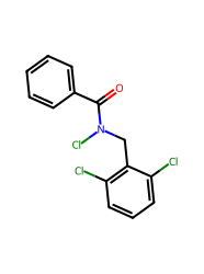 O=C(c1ccccc1)N(Cl)Cc1c(Cl)cccc1Cl